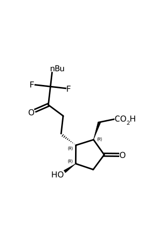 CCCCC(F)(F)C(=O)CC[C@H]1[C@H](O)CC(=O)[C@@H]1CC(=O)O